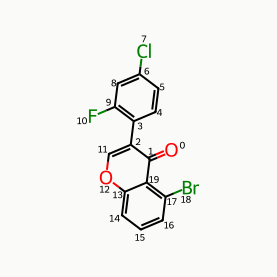 O=c1c(-c2ccc(Cl)cc2F)coc2cccc(Br)c12